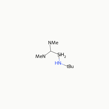 CNC(NC)[SiH2]NC(C)(C)C